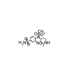 CS(=O)(=O)N(c1ccc(S(N)(=O)=O)cc1[N+](=O)[O-])C1CCNCC1